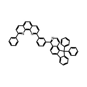 c1ccc(-c2ccc3ccc4ccc(-c5cccc(-c6nccc7c8c(ccc67)-c6ccccc6C8(c6ccccc6)c6ccccc6)c5)nc4c3n2)cc1